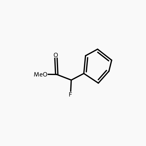 [CH2]OC(=O)C(F)c1ccccc1